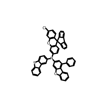 Clc1ccc2c(c1)Oc1cc(N(c3cc(-c4ccccc4)c4c(c3)oc3ccccc34)c3ccc4sc5ccccc5c4c3)ccc1C21c2ccccc2-c2ccccc21